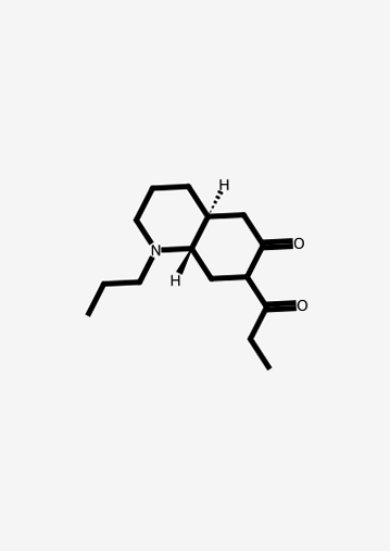 CCCN1CCC[C@H]2CC(=O)C(C(=O)CC)C[C@@H]21